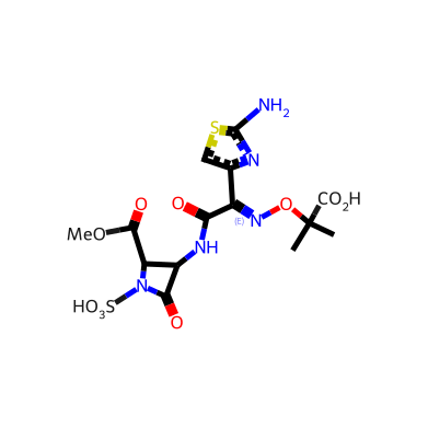 COC(=O)C1C(NC(=O)/C(=N/OC(C)(C)C(=O)O)c2csc(N)n2)C(=O)N1S(=O)(=O)O